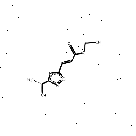 CCOC(=O)/C=C/c1nc([C@@H](C)O)no1